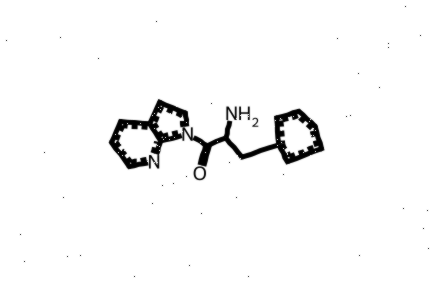 NC(Cc1ccccc1)C(=O)n1ccc2cccnc21